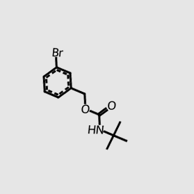 CC(C)(C)NC(=O)OCc1cccc(Br)c1